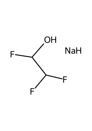 OC(F)C(F)F.[NaH]